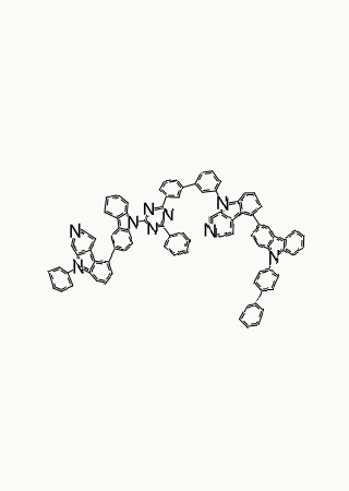 c1ccc(-c2ccc(-n3c4ccccc4c4cc(-c5cccc6c5c5ccncc5n6-c5cccc(-c6cccc(-c7nc(-c8ccccc8)nc(-n8c9ccccc9c9cc(-c%10cccc%11c%10c%10ccncc%10n%11-c%10ccccc%10)ccc98)n7)c6)c5)ccc43)cc2)cc1